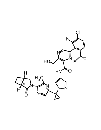 Cc1nc(C2(n3cc(NC(=O)c4nc(-c5c(C(F)F)ccc(Cl)c5F)cnc4CO)cn3)CC2)cnc1N1C[C@H]2CC[C@H]2C1=O